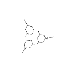 CC1CC(C[C@@H]2CC(C[C@H]3CCCN(C)C3)CN(C)C2)CN(C)C1